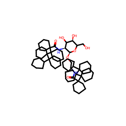 O=C(NCCO[C@@H]1OC(CO)[C@H](O)C(O)[C@@H]1NC(=O)C1(C2(C3(C4(C5CCCCC5)CCCCC4)CCCCC3)CCCCC2)CCCCC1)C1(C2(C3(C4(C5CCCCC5)CCCCC4)CCCCC3)CCCCC2)CCCCC1